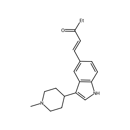 CCC(=O)/C=C/c1ccc2[nH]cc(C3CCN(C)CC3)c2c1